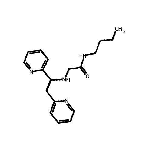 CCCCNC(=O)CNC(Cc1ccccn1)c1ccccn1